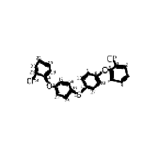 Clc1ccccc1Oc1ccc(Sc2ccc(Oc3ccccc3Cl)cc2)cc1